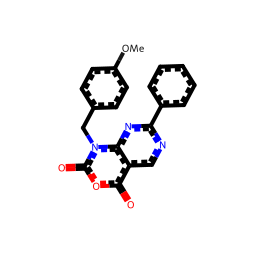 COc1ccc(Cn2c(=O)oc(=O)c3cnc(-c4ccccc4)nc32)cc1